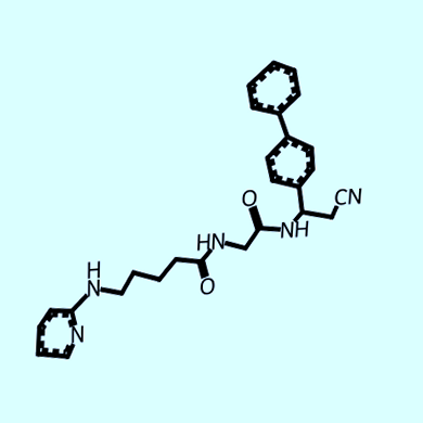 N#CCC(NC(=O)CNC(=O)CCCCNc1ccccn1)c1ccc(-c2ccccc2)cc1